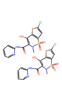 CN1C(C(=O)Nc2ccccn2)=C(O)c2sc(Cl)cc2S1(=O)=O.CN1C(C(=O)Nc2ccccn2)=C(O)c2sc(Cl)cc2S1(=O)=O